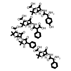 CC1(C)S[C@@H]2[C@H](N3C(=O)C(c4ccccc4)NC3(C)C)C(=O)N2[C@H]1C(=O)O.CC1(C)S[C@@H]2[C@H](NC(=O)C(C(=O)O)c3ccccc3)C(=O)N2[C@H]1C(=O)O.CC1(C)S[C@@H]2[C@H](NC(=O)[C@H](N)c3ccc(O)cc3)C(=O)N2[C@H]1C(=O)O.CC1(C)S[C@@H]2[C@H](NC(=O)[C@H](N)c3ccccc3)C(=O)N2[C@H]1C(=O)O